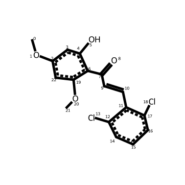 COc1cc(O)c(C(=O)/C=C/c2c(Cl)cccc2Cl)c(OC)c1